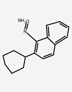 N.O=Nc1c(C2CCCCC2)ccc2ccccc12